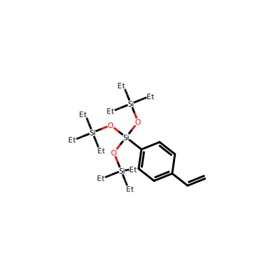 C=Cc1ccc([Si](O[Si](CC)(CC)CC)(O[Si](CC)(CC)CC)O[Si](CC)(CC)CC)cc1